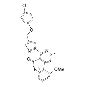 COc1cccc(F)c1-c1cc(C)nc(-c2nnc(COc3ccc(Cl)cc3)s2)c1C(N)=O